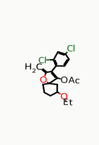 C=C1OC2(CCCC(OCC)C2)C(OC(C)=O)=C1c1ccc(Cl)cc1Cl